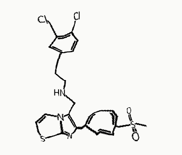 CS(=O)(=O)c1ccc(-c2nc3sccn3c2CNCCc2ccc(Cl)c(Cl)c2)cc1